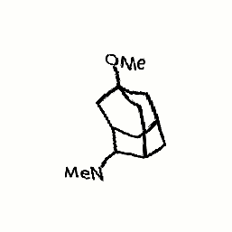 CNC1C2CC3CC1CC(OC)(C3)C2